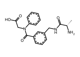 C[C@H](N)C(=O)NCc1cccc(C(=O)N(CC(=O)O)c2ccccc2)c1